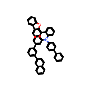 c1ccc(-c2ccc(N(c3cccc(-c4cccc(-c5ccc6ccccc6c5)c4)c3)c3ccccc3-c3cccc4c3oc3ccccc34)cc2)cc1